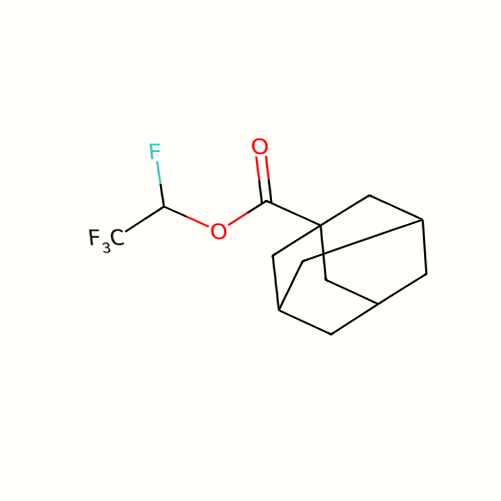 O=C(OC(F)C(F)(F)F)C12CC3CC(CC(C3)C1)C2